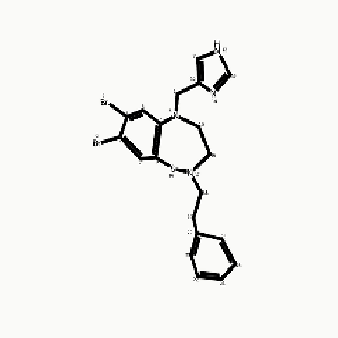 Brc1cc2c(cc1Br)N(Cc1c[nH]cn1)CCN(CCc1ccccc1)S2